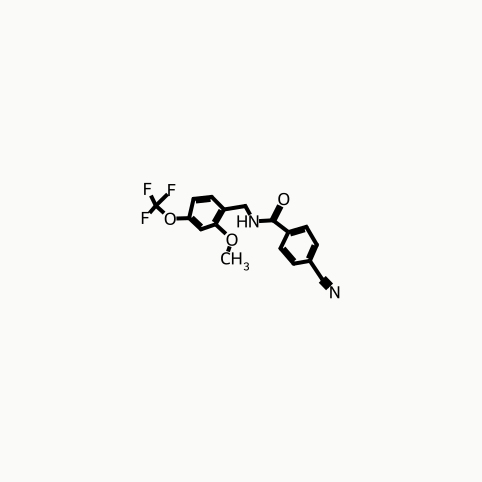 COc1cc(OC(F)(F)F)ccc1CNC(=O)c1ccc(C#N)cc1